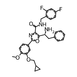 COc1ccc(-c2nc(C(=O)NCc3ccc(F)cc3F)c([C@@H](N)Cc3ccccc3)o2)cc1OCC1CC1